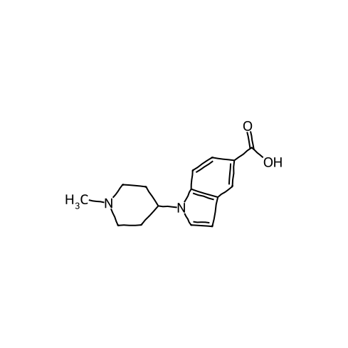 CN1CCC(n2ccc3cc(C(=O)O)ccc32)CC1